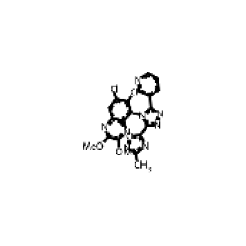 COc1nc2cc(Cl)c(Cl)c(-n3c(-c4cccnc4)nnc3-c3nc(C)no3)c2nc1OC